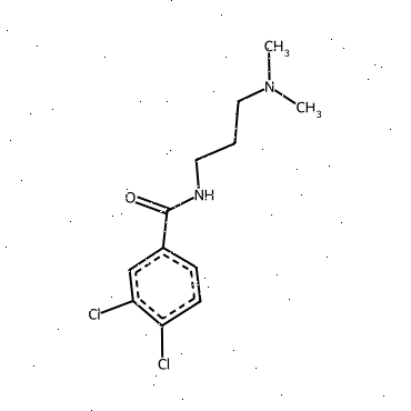 CN(C)CCCNC(=O)c1ccc(Cl)c(Cl)c1